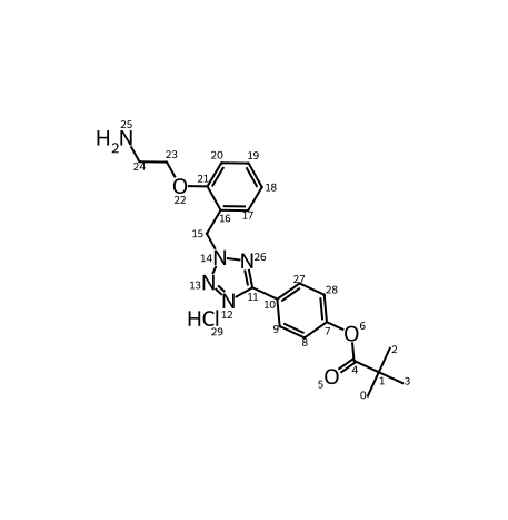 CC(C)(C)C(=O)Oc1ccc(-c2nnn(Cc3ccccc3OCCN)n2)cc1.Cl